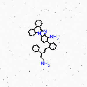 NC/C=C(\C=Cc1ccccc1-c1ccc2c(nc3c4ccccc4c4ccccc4n23)c1N)c1ccccc1